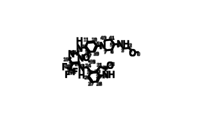 COCCNC1CCN(c2ccc(Nc3ncc(C(F)(F)F)c(NCc4cccc5c4CC(=O)N5)n3)c(OC)c2)CC1